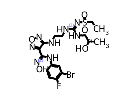 CCS(=O)(=O)/N=C(/NCCNc1nonc1/C(=N/O)Nc1ccc(F)c(Br)c1)NC[C@@H](C)O